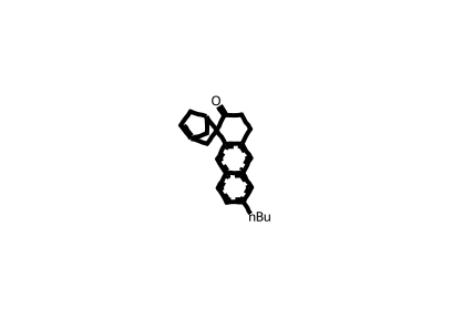 CCCCc1ccc2cc3c(cc2c1)CCC(=O)C31CC2=CCC1C2